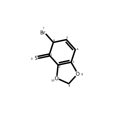 S=C1C2=C(C=CC1Br)OCO2